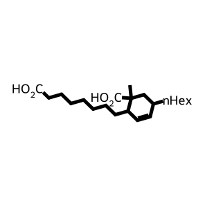 CCCCCCC1C=CC(CCCCCCCC(=O)O)C(C)(C(=O)O)C1